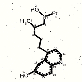 CCN(O)CC(C)CCCc1ccnc2ccc(O)cc12